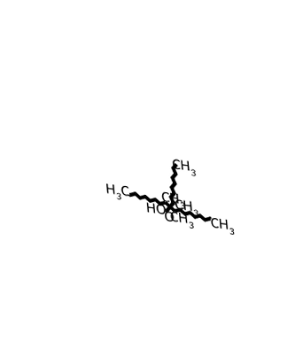 CCCCCCCCC(C)C(C(=O)O)(C(C)CCCCCCCC)C(C)CCCCCCCC